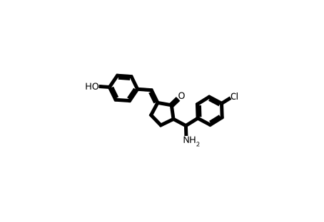 NC(c1ccc(Cl)cc1)C1CC/C(=C\c2ccc(O)cc2)C1=O